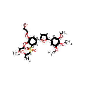 CCCOc1c(OCCBr)cc([C@@H]2CC[C@@H](c3cc(OC)c(OC)c(OC)c3)O2)cc1S(=O)(=O)CC(C)O